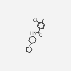 Cc1ccc(C(=O)N[C@H]2CC[C@H](N3CCCC3)CC2)cc1Cl